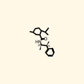 CC1CCC(C(C)C)C(C(=O)N[C@H](C)[C@@H](C)c2ccccc2)C1